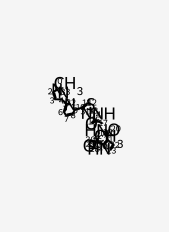 Cn1ccc(-c2cccc(-c3csc(NC(=O)CNC(=O)c4cc[nH]c4C4(C)COC4)n3)n2)n1